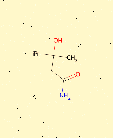 CC(C)C(C)(O)CC(N)=O